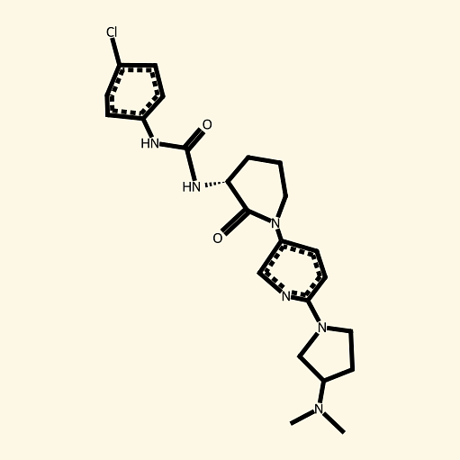 CN(C)C1CCN(c2ccc(N3CCC[C@@H](NC(=O)Nc4ccc(Cl)cc4)C3=O)cn2)C1